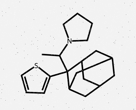 CC(N1CCCC1)C1(c2cccs2)C2CC3CC(C2)CC1C3